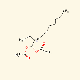 CCCCCCC/C=C(\CC)C(OC(C)=O)OC(C)=O